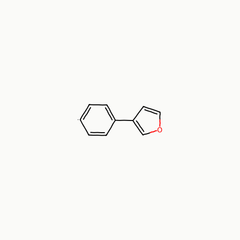 [c]1ccc(-c2ccoc2)cc1